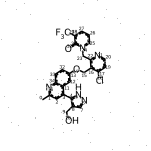 Cc1cc(-c2[nH]ncc2CO)c2cc(OCc3c(Cl)ccnc3Cn3cccc(C(F)(F)F)c3=O)ccc2n1